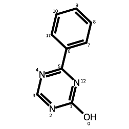 Oc1ncnc(-c2ccccc2)n1